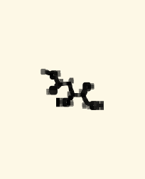 COC(=O)C[C@H](O)C(=O)CO